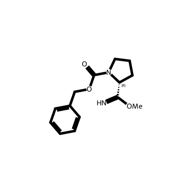 COC(=N)[C@H]1CCCN1C(=O)OCc1ccccc1